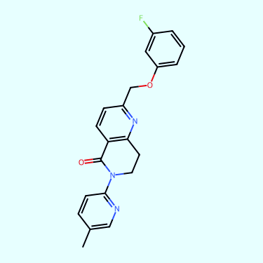 Cc1ccc(N2CCc3nc(COc4cccc(F)c4)ccc3C2=O)nc1